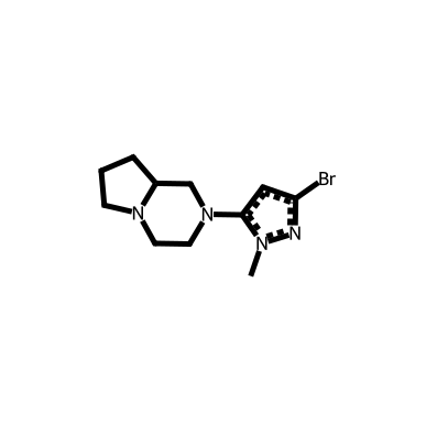 Cn1nc(Br)cc1N1CCN2CCCC2C1